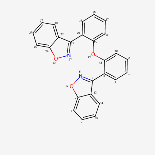 c1ccc(-c2noc3ccccc23)c(Oc2ccccc2-c2noc3ccccc23)c1